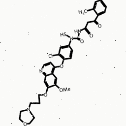 COc1cc2c(Oc3ccc(N(S)C(=O)NC(=O)CC(=O)c4ccccc4C)cc3Cl)ccnc2cc1OCCCN1CCOCC1